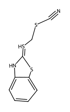 N#CSC[SH]=c1[nH]c2ccccc2s1